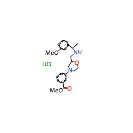 COC(=O)c1cccc(N2CCOC(CN[C@H](C)c3cccc(OC)c3)C2)c1.Cl